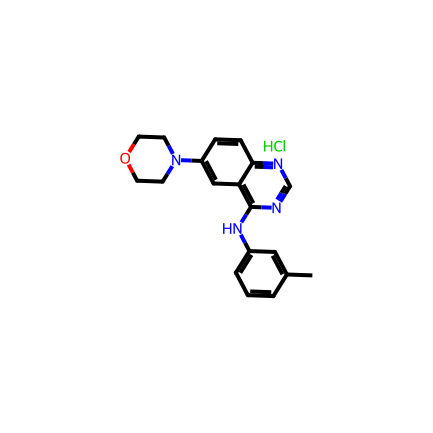 Cc1cccc(Nc2ncnc3ccc(N4CCOCC4)cc23)c1.Cl